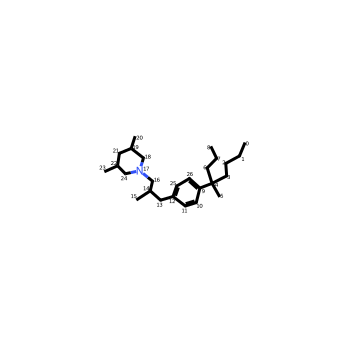 CCCCC(C)(CCC)c1ccc(CC(C)CN2CC(C)CC(C)C2)cc1